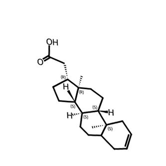 C[C@]12CC[C@H]3[C@@H](CCC4CC=CC[C@@]43C)[C@@H]1CC[C@@H]2CC(=O)O